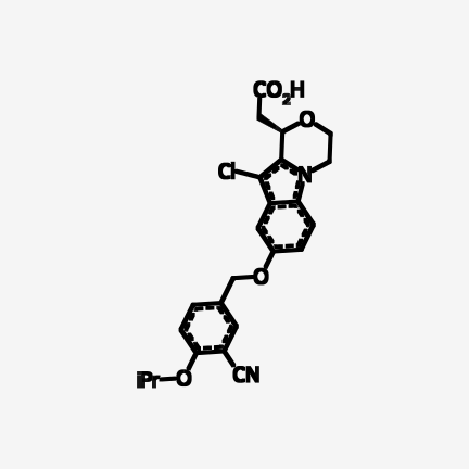 CC(C)Oc1ccc(COc2ccc3c(c2)c(Cl)c2n3CCO[C@@H]2CC(=O)O)cc1C#N